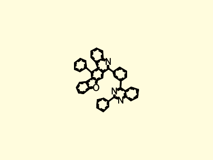 c1ccc(-c2nc(-c3cccc(-c4nc5ccccc5c5c(-c6ccccc6)c6c(cc45)oc4ccccc46)c3)c3ccccc3n2)cc1